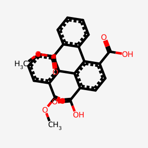 COC(=O)c1ccccc1-c1c(C(=O)O)ccc(C(=O)O)c1-c1ccccc1C(=O)OC